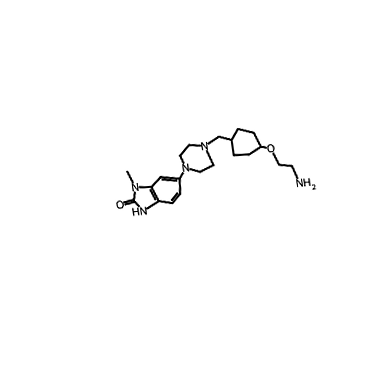 Cn1c(=O)[nH]c2ccc(N3CCN(CC4CCC(OCCN)CC4)CC3)cc21